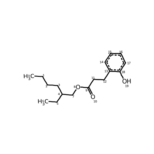 CCCCC(CC)COC(=O)CCc1c[c]ccc1O